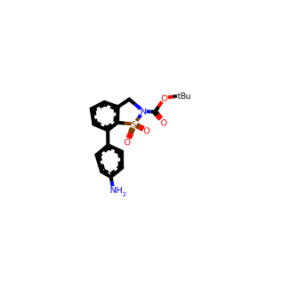 CC(C)(C)OC(=O)N1Cc2cccc(-c3ccc(N)cc3)c2S1(=O)=O